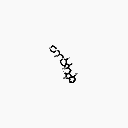 Cc1c(/C=C2\C(=O)Nc3cccc(Br)c32)[nH]c2c1C(=O)N(CC(O)CN1CCOCC1)CC2